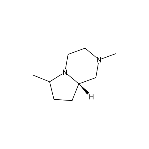 CC1CC[C@H]2CN(C)CCN12